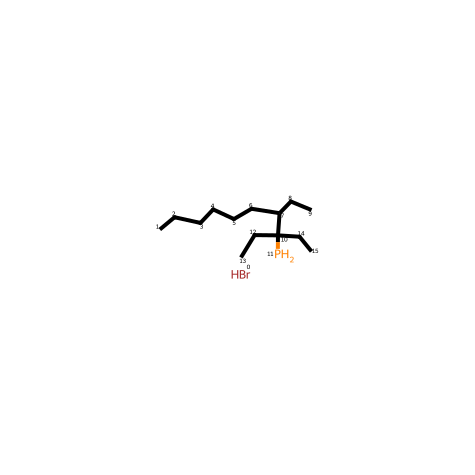 Br.CCCCCCC(CC)C(P)(CC)CC